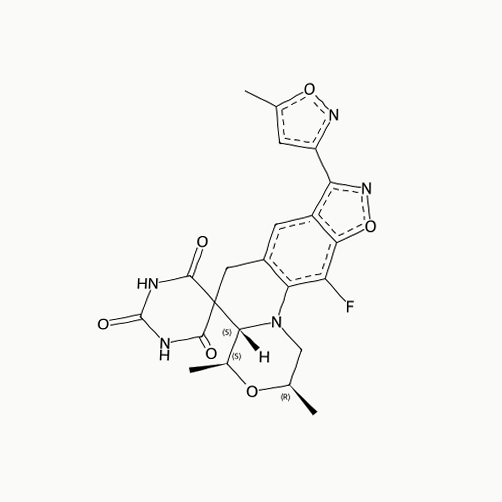 Cc1cc(-c2noc3c(F)c4c(cc23)CC2(C(=O)NC(=O)NC2=O)[C@H]2[C@H](C)O[C@H](C)CN42)no1